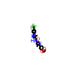 Cc1cc(NC(=O)c2cnn(-c3ccc(C(F)(F)F)cc3)c2C)cnc1C1=CCC2(CC1)OCCO2